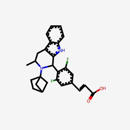 CC1Cc2c([nH]c3ccccc23)C(c2c(F)cc(/C=C/C(=O)O)cc2F)N1C12CCC(C1)C2